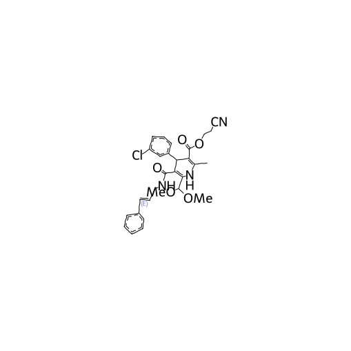 COC(OC)C1=C(C(=O)NC/C=C/c2ccccc2)C(c2cccc(Cl)c2)C(C(=O)OCCC#N)=C(C)N1